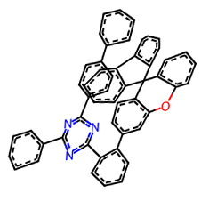 c1ccc(-c2ccc(-c3nc(-c4ccccc4)nc(-c4ccccc4-c4ccc5c(c4)Oc4ccccc4C54c5ccccc5-c5ccccc54)n3)cc2)cc1